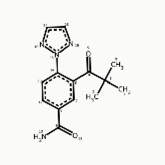 CC(C)(C)C(=O)c1cc(C(N)=O)ccc1-n1nccn1